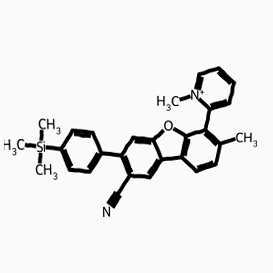 Cc1ccc2c(oc3cc(-c4ccc([Si](C)(C)C)cc4)c(C#N)cc32)c1-c1cccc[n+]1C